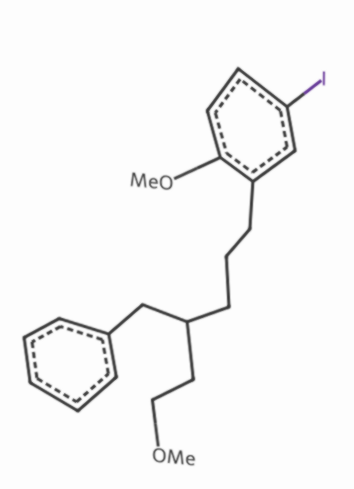 COCCC(CCCc1cc(I)ccc1OC)Cc1ccccc1